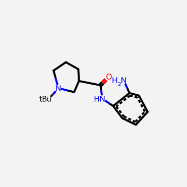 CC(C)(C)N1CCCC(C(=O)Nc2ccccc2N)C1